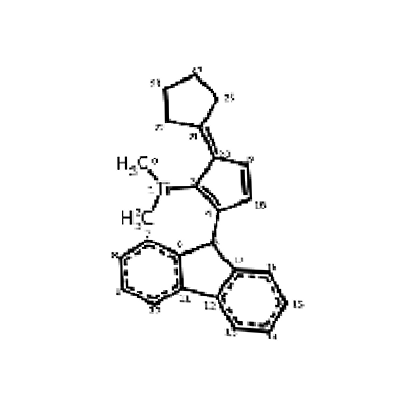 [CH3][Ti]([CH3])[C]1=C(C2c3ccccc3-c3ccccc32)C=CC1=C1CCCC1